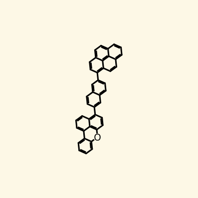 c1ccc2c(c1)Oc1ccc(-c3ccc4cc(-c5ccc6ccc7cccc8ccc5c6c78)ccc4c3)c3cccc-2c13